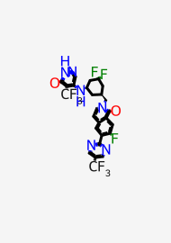 O=c1[nH]ncc(N[C@@H]2C[C@H](Cn3ccc4cc(-c5ncc(C(F)(F)F)cn5)c(F)cc4c3=O)CC(F)(F)C2)c1C(F)(F)F